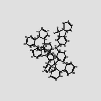 CC1(C)c2ccccc2-c2ccc(N(c3ccc4c(c3)-c3ccccc3-c3ccccc3O4)c3ccc4c(c3)C3(c5ccccc5-c5ccccc5-4)c4ccccc4-c4c3ccc3sc5ccccc5c43)cc21